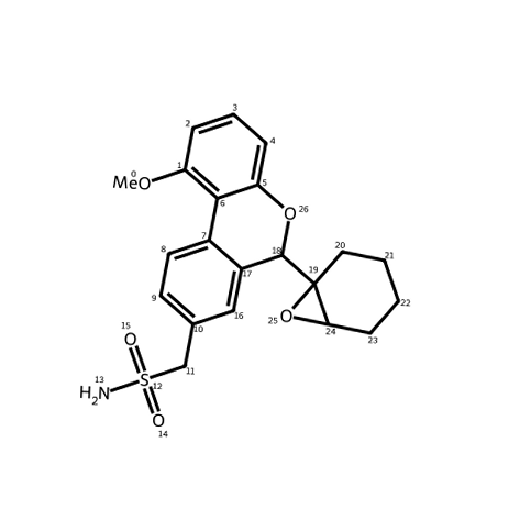 COc1cccc2c1-c1ccc(CS(N)(=O)=O)cc1C(C13CCCCC1O3)O2